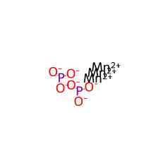 [Mn+2].[Mn+2].[Mn+2].[O-]P([O-])[O-].[O-]P([O-])[O-]